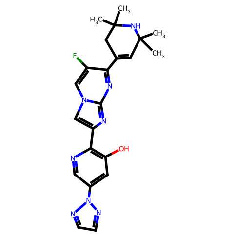 CC1(C)C=C(c2nc3nc(-c4ncc(-n5nccn5)cc4O)cn3cc2F)CC(C)(C)N1